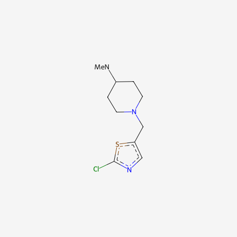 CNC1CCN(Cc2cnc(Cl)s2)CC1